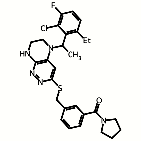 CCc1ccc(F)c(Cl)c1C(C)N1CCNc2nnc(SCc3cccc(C(=O)N4CCCC4)c3)cc21